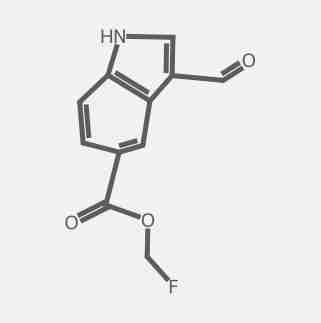 O=Cc1c[nH]c2ccc(C(=O)OCF)cc12